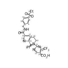 CCS(=O)(=O)c1ccc(CNC(=O)c2cnc3c(c2)CCN(c2ncc(C(=O)O)c(C(F)(F)F)n2)[C@H]3C(C)C)cc1